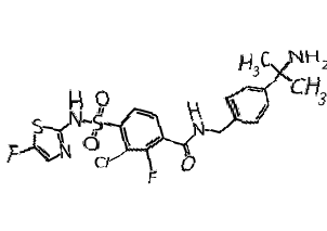 CC(C)(N)c1ccc(CNC(=O)c2ccc(S(=O)(=O)Nc3ncc(F)s3)c(Cl)c2F)cc1